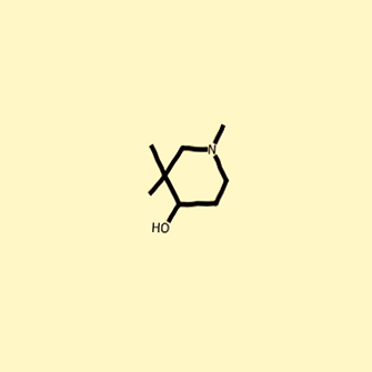 CN1CCC(O)C(C)(C)C1